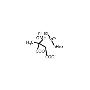 CCCCC[CH2][Sn+2][CH2]CCCCC.COC(C)(CC(=O)[O-])C(=O)[O-]